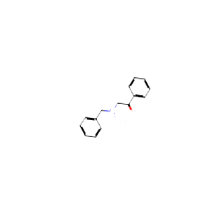 O=C(CN(S)Cc1ccccc1)c1ccccc1